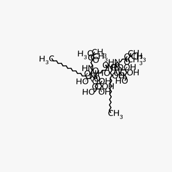 CCCCCCCCCCCCCC[C@@H](O)[C@@H](O)[C@H](CO[C@H]1OC(CO)[C@H](O)[C@H](O)C1O)N(CC(=O)NCCC(=O)OC(C)(C)C)C(=O)CCCCC(=O)N(CC(=O)NCCC(=O)OC(C)(C)C)[C@@H](CO[C@H]1OC(CO)[C@H](O)[C@H](O)C1O)[C@H](O)[C@H](O)CCCCCCCCCCCCCC